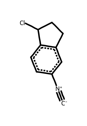 [C-]#[N+]c1ccc2c(c1)CCC2Cl